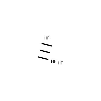 CC.CC.CC.F.F.F